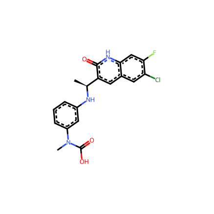 C[C@H](Nc1cccc(N(C)C(=O)O)c1)c1cc2cc(Cl)c(F)cc2[nH]c1=O